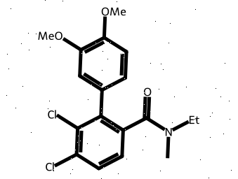 CCN(C)C(=O)c1ccc(Cl)c(Cl)c1-c1ccc(OC)c(OC)c1